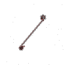 CC(OC(=O)C(C)OC(=O)C(C)OC(=O)C(C)OC(=O)C1(C#N)CC2c3ccccc3C1c1ccccc12)C(=O)OCCOCCOCCOCCOCCOCCOCCOCCOCCOCCOCCOCCOCCOCCOCCOCCOCCOCCOCCOCCOCCOCCOC(=O)C(C)OC(=O)C(C)OC(=O)C(C)OC(=O)C(C)OC(=O)C1(C#N)CC2c3ccccc3C1c1ccccc12